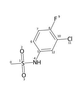 CS(=O)(=O)Nc1ccc(F)c(Cl)c1